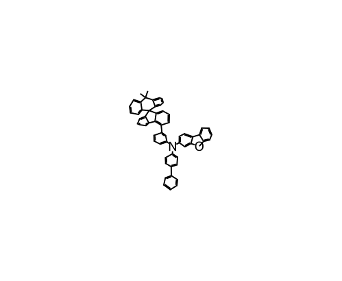 CC1(C)c2ccccc2C2(c3ccccc3-c3c(-c4cccc(N(c5ccc(-c6ccccc6)cc5)c5ccc6c(c5)oc5ccccc56)c4)cccc32)c2ccccc21